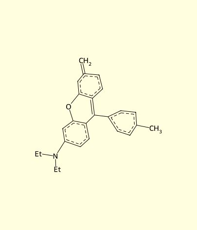 C=c1ccc2c(c1)Oc1cc(N(CC)CC)ccc1C=2c1ccc(C)cc1